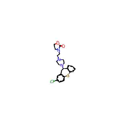 O=C1OCCN1CCN1CCN(C2Cc3cc(Cl)ccc3Sc3ccccc32)CC1